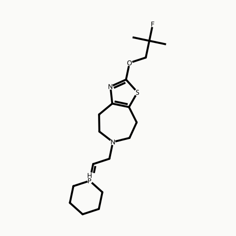 CC(C)(F)COc1nc2c(s1)CCN(CC=[PH]1CCCCC1)CC2